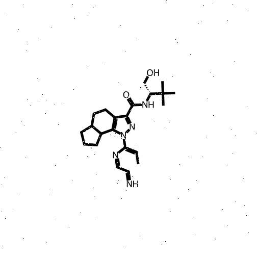 C/C=C(\N=C/C=N)n1nc(C(=O)N[C@H](CO)C(C)(C)C)c2c1C1CCCC1CC2